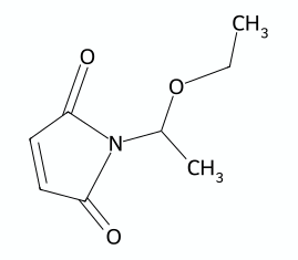 CCOC(C)N1C(=O)C=CC1=O